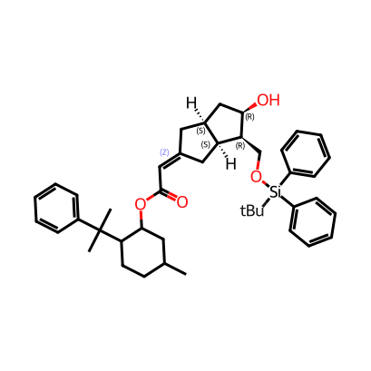 CC1CCC(C(C)(C)c2ccccc2)C(OC(=O)/C=C2/C[C@H]3C[C@@H](O)[C@@H](CO[Si](c4ccccc4)(c4ccccc4)C(C)(C)C)[C@H]3C2)C1